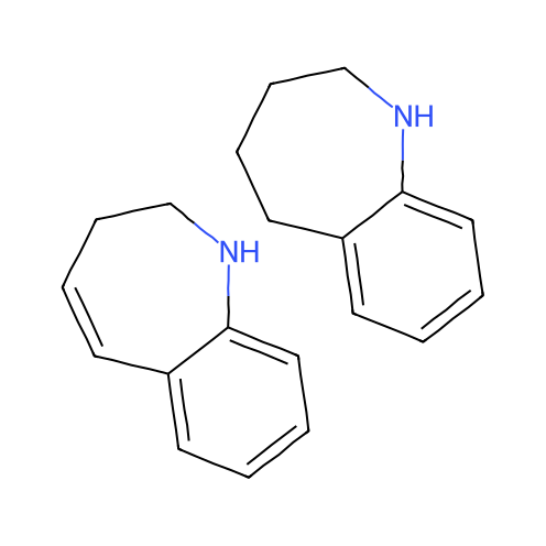 C1=Cc2ccccc2NCC1.c1ccc2c(c1)CCCCN2